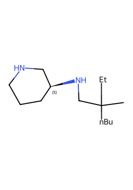 CCCCC(C)(CC)CN[C@H]1CCCNC1